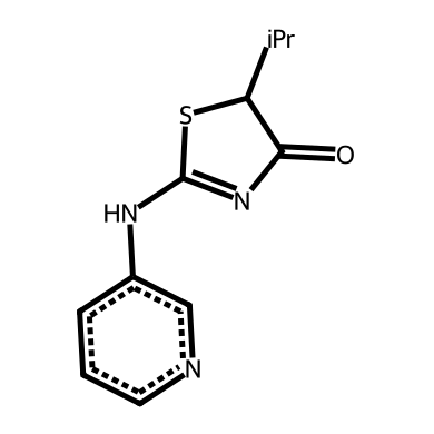 CC(C)C1SC(Nc2cccnc2)=NC1=O